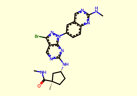 CNC(=O)[C@]1(C)CC[C@@H](Nc2ncc3c(Br)nn(-c4ccc5nc(NC)ncc5c4)c3n2)C1